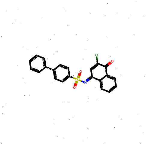 O=C1C(Cl)=C/C(=N\S(=O)(=O)c2ccc(-c3ccccc3)cc2)c2ccccc21